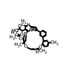 Cc1ccc2c(c1)-c1cccc(c1)-c1cc3nc(C)c([C@H](OC(C)(C)C)C(=O)O)c(n3n1)N1CCC(C)(CC1)OCC=C[C@@H](C)O2